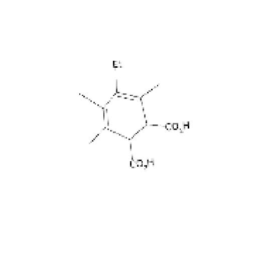 CCC1=C(C)C(C(=O)O)C(C(=O)O)C(C)=C1C